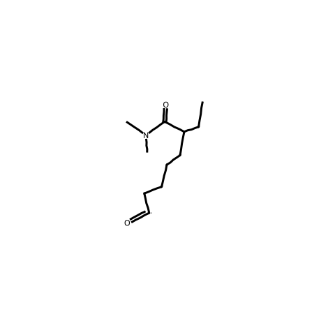 CCC(CCCC[C]=O)C(=O)N(C)C